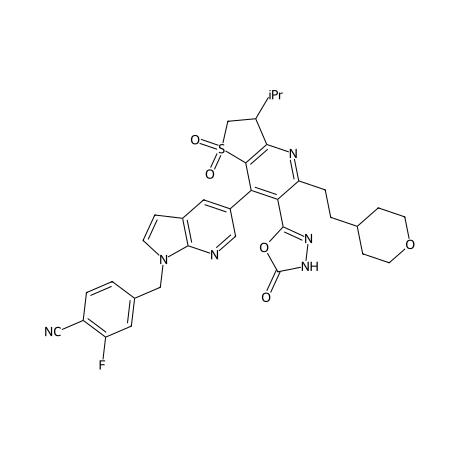 CC(C)C1CS(=O)(=O)c2c1nc(CCC1CCOCC1)c(-c1n[nH]c(=O)o1)c2-c1cnc2c(ccn2Cc2ccc(C#N)c(F)c2)c1